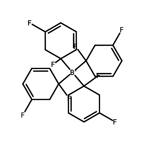 FC1=CC=CC(F)([B-](C2(F)C=CC=C(F)C2)(C2(F)C=CC=C(F)C2)C2(F)C=CC=C(F)C2)C1